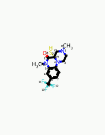 CN1CCN2c3ccc(C(F)(F)F)cc3N(C)C(=O)[C@@]2(S)C1